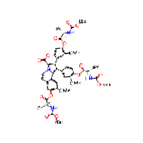 COc1cc(-c2c3c4cc(OC)c(OC(=O)[C@@H](NC(=O)OC(C)(C)C)C(C)C)cc4oc(=O)c3n3ccc4cc(OC(=O)[C@@H](NC(=O)OC(C)(C)C)C(C)C)c(OC)cc4c23)ccc1OC(=O)[C@@H](NC(=O)OC(C)(C)C)C(C)C